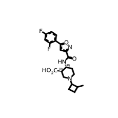 CC1CCC1N1CC[C@@H](NC(=O)c2cc(-c3ccc(F)cc3F)on2)[C@H](C(=O)O)C1